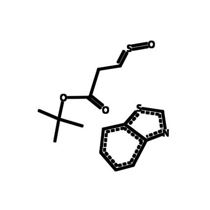 CC(C)(C)OC(=O)CC=S=O.c1ccc2scnc2c1